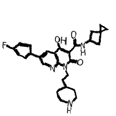 O=C(NC1CC2(CC2)C1)c1c(O)c2cc(-c3ccc(F)cc3)cnc2n(CCC2CCNCC2)c1=O